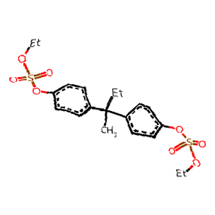 CCOS(=O)(=O)Oc1ccc(C(C)(CC)c2ccc(OS(=O)(=O)OCC)cc2)cc1